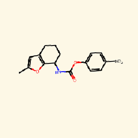 Cc1cc2c(o1)C(NC(=O)Oc1ccc([N+](=O)[O-])cc1)CCC2